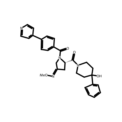 CON=C1C[C@@H](C(=O)N2CCC(O)(c3ccccc3)CC2)N(C(=O)c2ccc(-c3ccncc3)cc2)C1